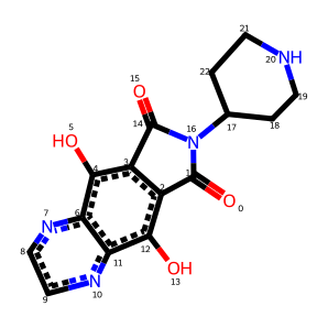 O=C1c2c(c(O)c3nccnc3c2O)C(=O)N1C1CCNCC1